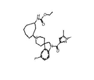 CCOC(=O)NC1CCCCC(N2CCC3(CC2)CN(C(=O)c2cc(C)n(C)n2)c2ccc(F)cc23)C1